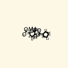 COC(=O)[C@H]1C[C@@H](C)[C@H]2O[C@@H](c3ccccc3)OC[C@H]2O1